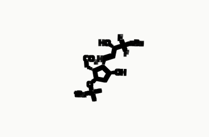 CCCCC(F)(F)[C@@H](O)C=C[C@H]1[C@@H](CC(=O)O)[C@H](O[Si](C)(C)C(C)(C)C)C[C@@H]1O